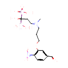 CN(CCCOc1cc(C=O)ccc1[N+](=O)[O-])CCC(O)([PH](=O)O)P(=O)(O)O